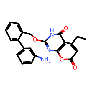 CCc1cc(=O)oc2nc(OCc3ccccc3-c3cccc(N)c3)[nH]c(=O)c12